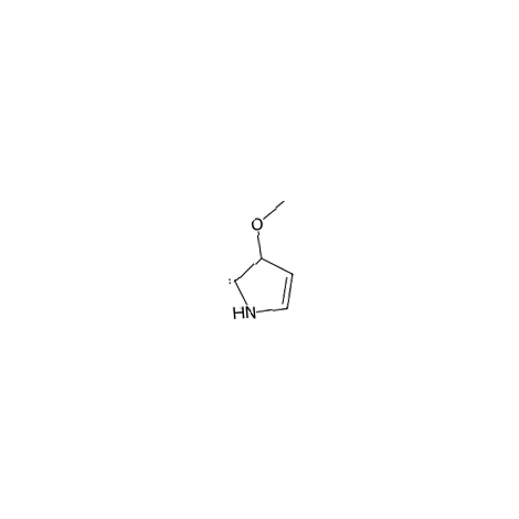 COC1[C]NC=C1